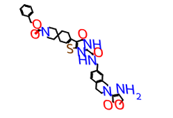 NC1=C(N2CCc3ccc(CNC(=O)c4nc5sc6c(c5c(=O)[nH]4)CCC4(CCN(C(=O)OCc5ccccc5)CC4)C6)cc3C2)C(=O)OC1